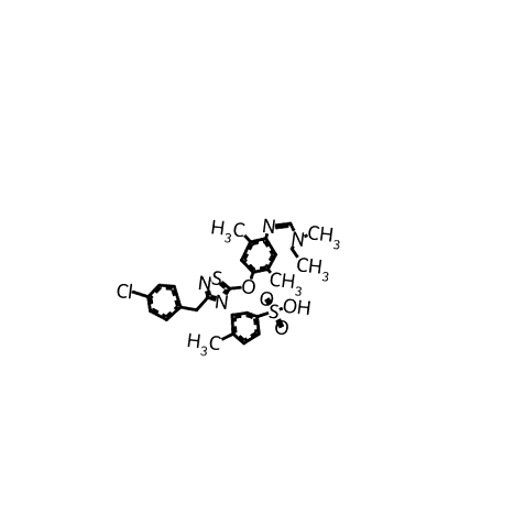 CCN(C)/C=N\c1cc(C)c(Oc2nc(Cc3ccc(Cl)cc3)ns2)cc1C.Cc1ccc(S(=O)(=O)O)cc1